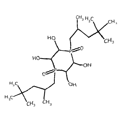 CC(CC(C)(C)C)CP1(=O)C(O)C(O)P(=O)(CC(C)CC(C)(C)C)C(O)C1O